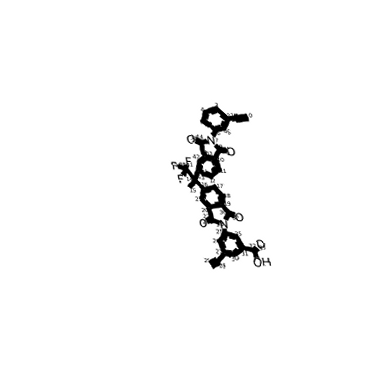 C#Cc1cccc(N2C(=O)c3ccc(C(C)(c4ccc5c(c4)C(=O)N(c4cc(C#C)cc(C(=O)O)c4)C5=O)C(F)(F)F)cc3C2=O)c1